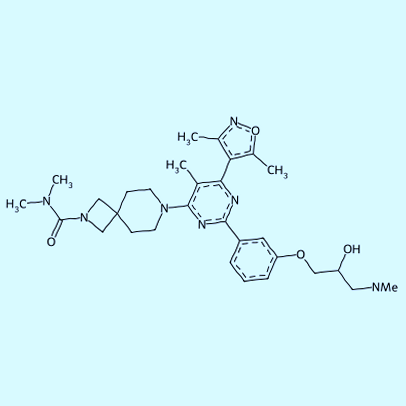 CNCC(O)COc1cccc(-c2nc(-c3c(C)noc3C)c(C)c(N3CCC4(CC3)CN(C(=O)N(C)C)C4)n2)c1